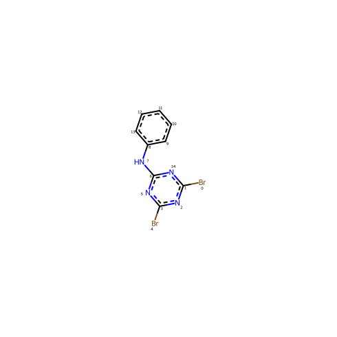 Brc1nc(Br)nc(Nc2ccccc2)n1